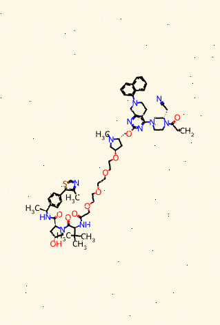 C=CC(=O)N1CCN(c2nc(OC[C@@H]3C[C@@H](OCCOCCOCCOCC(=O)N[C@H](C(=O)N4C[C@H](O)C[C@H]4C(=O)N[C@@H](C)c4ccc(-c5scnc5C)cc4)C(C)(C)C)CN3C)nc3c2CCN(c2cccc4ccccc24)C3)C[C@@H]1CC#N